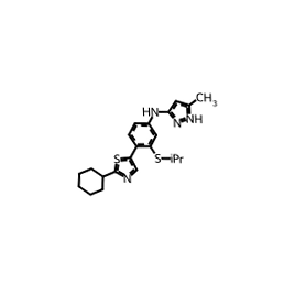 Cc1cc(Nc2ccc(-c3cnc(C4CCCCC4)s3)c(SC(C)C)c2)n[nH]1